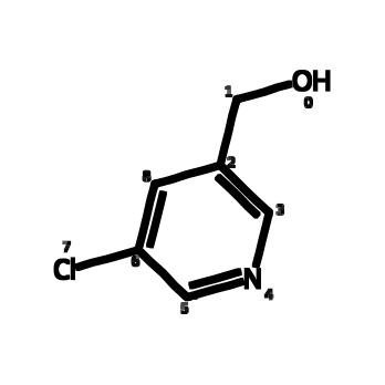 OCc1cn[c]c(Cl)c1